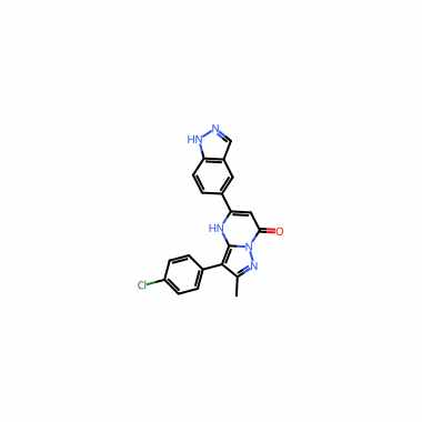 Cc1nn2c(=O)cc(-c3ccc4[nH]ncc4c3)[nH]c2c1-c1ccc(Cl)cc1